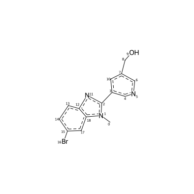 Cn1c(-c2cncc(CO)c2)nc2ccc(Br)cc21